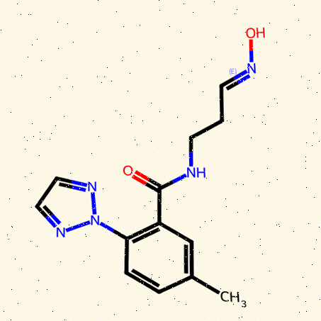 Cc1ccc(-n2nccn2)c(C(=O)NCC/C=N/O)c1